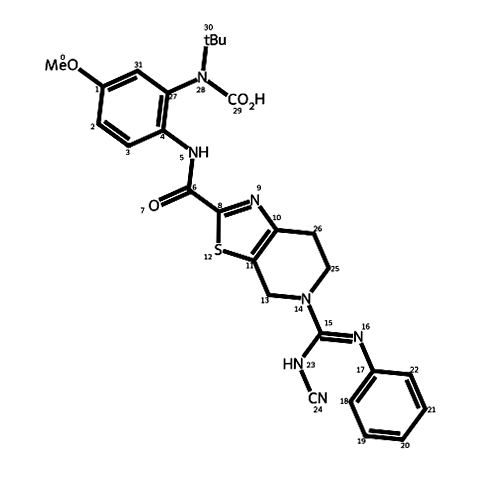 COc1ccc(NC(=O)c2nc3c(s2)CN(/C(=N/c2ccccc2)NC#N)CC3)c(N(C(=O)O)C(C)(C)C)c1